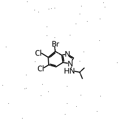 CC(C)Nn1cnc2c(Br)c(Cl)c(Cl)cc21